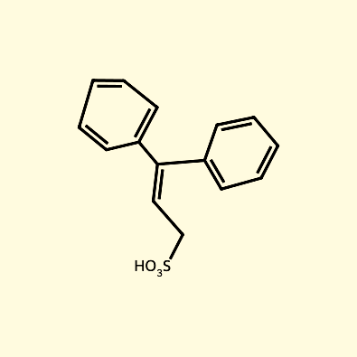 O=S(=O)(O)CC=C(c1ccccc1)c1ccccc1